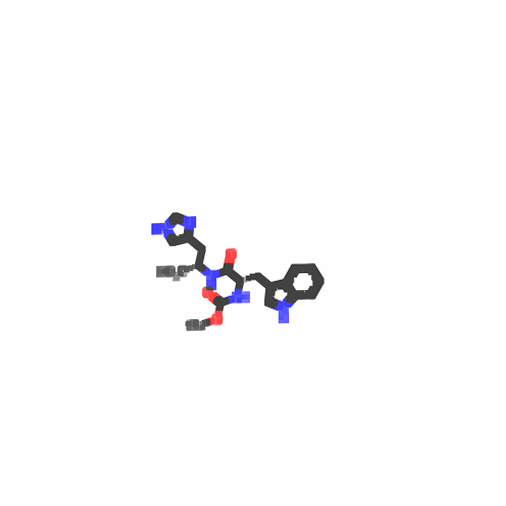 CC(C)(C)OC(=O)N[C@@H](Cc1c[nH]c2ccccc12)C(=O)N[C@@H](Cc1c[nH]cn1)C(=O)O